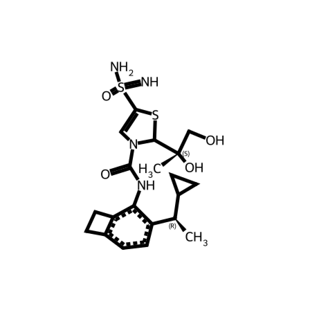 C[C@@H](c1ccc2c(c1NC(=O)N1C=C(S(=N)(N)=O)SC1[C@@](C)(O)CO)CC2)C1CC1